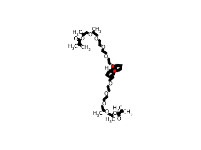 C=C(C)C(=O)OC(C)COC(C)COCCOCCOCCOC1=CC2=CC=C1C2C1(C)C2=CC=C1C(OCCOCCOCCOCC(C)OCC(C)OC(=O)C(=C)C)=C2